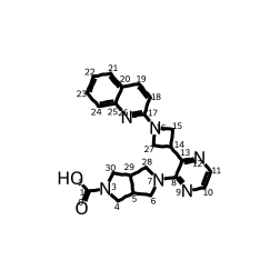 O=C(O)N1CC2CN(c3nccnc3C3CN(c4ccc5ccccc5n4)C3)CC2C1